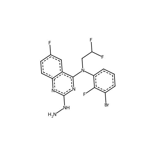 NNc1nc(N(CC(F)F)c2cccc(Br)c2F)c2cc(F)ccc2n1